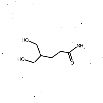 NC(=O)CCC(CO)CO